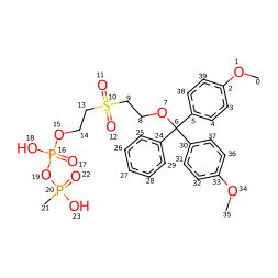 COc1ccc(C(OCCS(=O)(=O)CCOP(=O)(O)OP(C)(=O)O)(c2ccccc2)c2ccc(OC)cc2)cc1